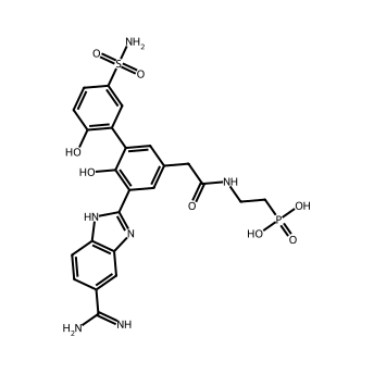 N=C(N)c1ccc2[nH]c(-c3cc(CC(=O)NCCP(=O)(O)O)cc(-c4cc(S(N)(=O)=O)ccc4O)c3O)nc2c1